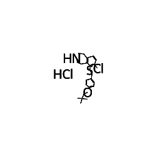 CC(C)(C)COc1ccc(CSc2c(Cl)ccc3c2CCNCC3)cc1.Cl